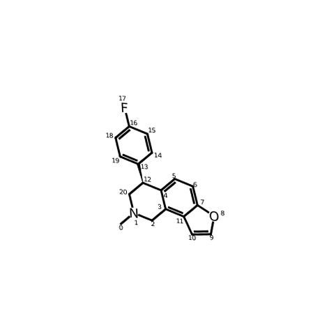 CN1Cc2c(ccc3occc23)[C@H](c2ccc(F)cc2)C1